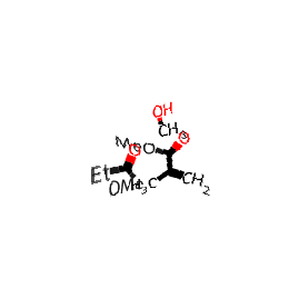 C=C(C)C(=O)OC.CCC(=O)OC.CO